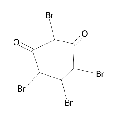 O=C1C(Br)C(=O)C(Br)C(Br)C1Br